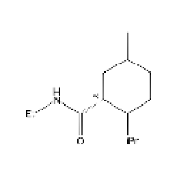 CCNC(=O)[C@@H]1CC(C)CCC1C(C)C